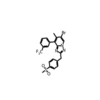 Cc1c(Br)cn2nc(Cc3ccc(S(C)(=O)=O)cc3)nc2c1-c1cccc(C(F)(F)F)c1